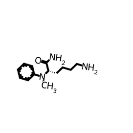 CN(c1ccccc1)[C@@H](CCCCN)C(N)=O